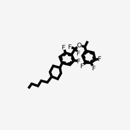 CCCCCC1CCC(c2cc(F)c(C(F)(F)OC(C)c3cc(F)c(F)c(F)c3)c(F)c2)CC1